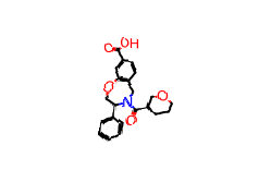 O=C(O)c1ccc2c(c1)OC[C@H](c1ccccc1)N(C(=O)[C@@H]1CCCOC1)C2